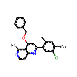 Cc1cc(C(C)(C)C)c(Cl)cc1-c1cc(OCc2ccccc2)c2c(C#N)nccc2n1